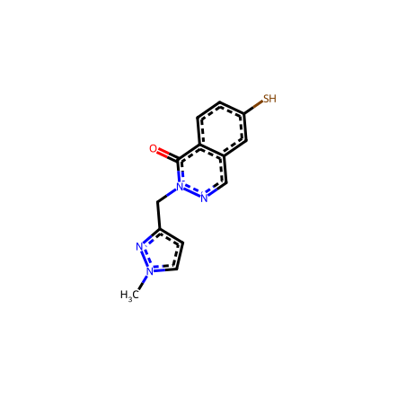 Cn1ccc(Cn2ncc3cc(S)ccc3c2=O)n1